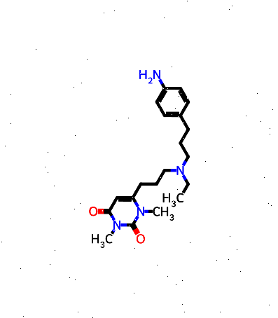 CCN(CCCc1ccc(N)cc1)CCCc1cc(=O)n(C)c(=O)n1C